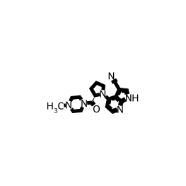 CN1CCN(C(=O)[C@@H]2CCCN2c2ccnc3[nH]cc(C#N)c23)CC1